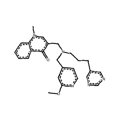 COc1cc(CN(CCCc2cncnc2)Cc2cn(C)c3ccccc3c2=O)ccn1